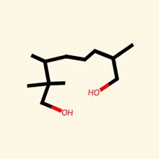 CC(CO)CCCC(C)C(C)(C)CO